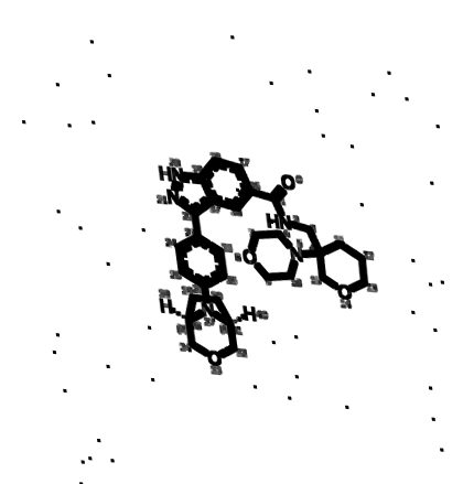 O=C(NCC1(N2CCOCC2)CCCOC1)c1ccc2[nH]nc(-c3ccc(N4[C@@H]5CC[C@H]4COC5)cc3)c2c1